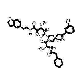 CCC[C@H](NC(=O)[C@@H]1C[C@]2(CC(c3cccc(Cl)c3)=NO2)CN1C(=O)[C@@H](NC(=O)CC1CCCCC1)C(C)(C)C)C(=O)C(=O)NCCc1ccc2c(c1)CCO2